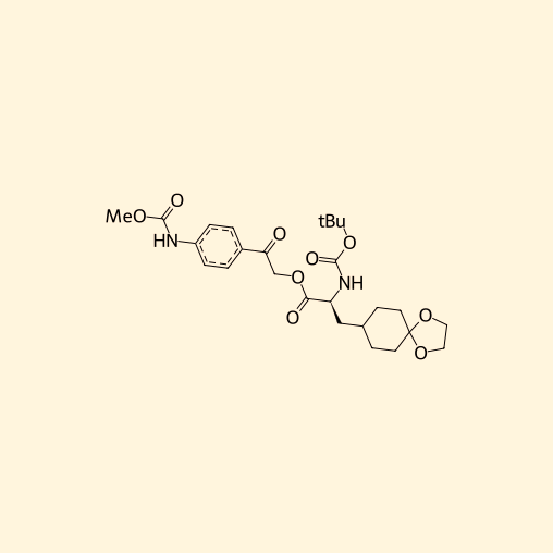 COC(=O)Nc1ccc(C(=O)COC(=O)[C@H](CC2CCC3(CC2)OCCO3)NC(=O)OC(C)(C)C)cc1